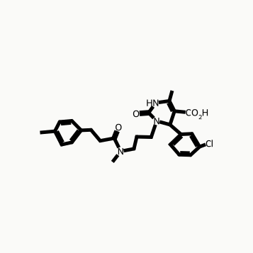 CC1=C(C(=O)O)C(c2cccc(Cl)c2)N(CCCN(C)C(=O)CCc2ccc(C)cc2)C(=O)N1